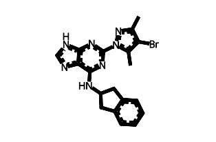 Cc1nn(-c2nc(NC3Cc4ccccc4C3)c3nc[nH]c3n2)c(C)c1Br